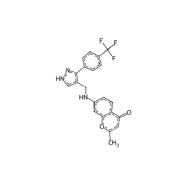 Cc1cc(=O)c2ccc(NCc3c[nH]nc3-c3ccc(C(F)(F)F)cc3)cc2o1